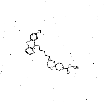 CC(C)(C)OC(=O)N1CCC2(CC1)CN(CCCCCN1c3cc(Cl)ccc3Sc3cccnc31)CCO2